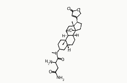 CN(C(=O)C(N)CC(N)=O)[C@H]1CC[C@@]2(C)[C@H](CC[C@@H]3[C@@H]2CC[C@]2(C)[C@@H](C4=CC(=O)OC4)CC[C@]32O)C1